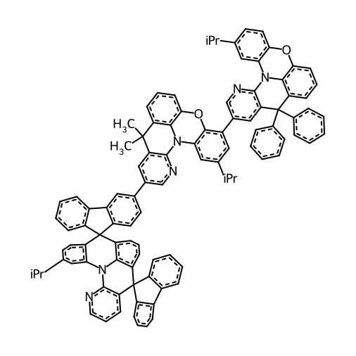 CC(C)c1ccc2c(c1)N1c3ncc(-c4cc(C(C)C)cc5c4Oc4cccc6c4N5c4ncc(-c5ccc7c(c5)-c5ccccc5C75c7ccc(C(C)C)cc7N7c8ncccc8C8(c9ccccc9-c9ccccc98)c8cccc5c87)cc4C6(C)C)cc3C(c3ccccc3)(c3ccccc3)c3cccc(c31)O2